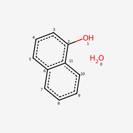 O.Oc1cccc2ccccc12